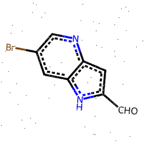 O=Cc1cc2ncc(Br)cc2[nH]1